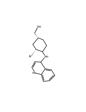 OC[C@@H]1CCC(NC2[C]=CNc3ccccc32)[C@H](Br)C1